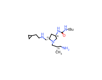 C[C@@H](CN)CN1C[C@H](NC(=O)NC(C)(C)C)C[C@H]1CNCCC1CC1